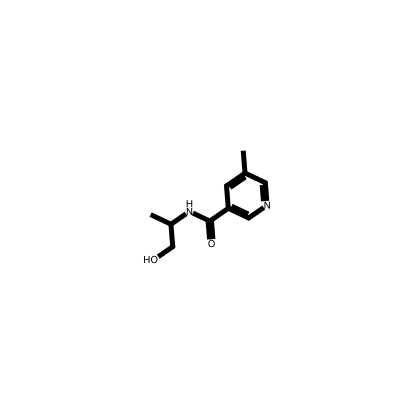 Cc1cncc(C(=O)NC(C)CO)c1